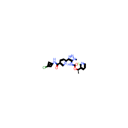 C[C@@H](OC(=O)Nc1c(-c2ccc(C(=O)NC34CC(Cl)(C3)C4)cn2)nnn1C)c1cccnc1F